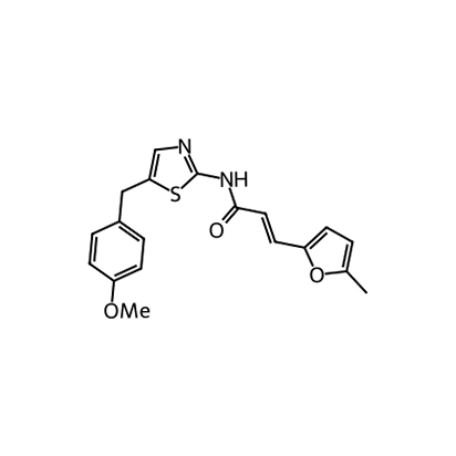 COc1ccc(Cc2cnc(NC(=O)C=Cc3ccc(C)o3)s2)cc1